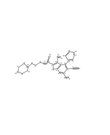 N#Cc1c(N)nc2sc(C(=O)NCCCN3CCOCC3)c(N)c2c1-c1ccccc1